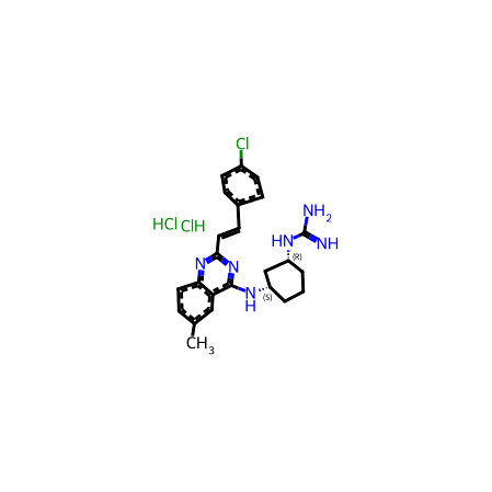 Cc1ccc2nc(C=Cc3ccc(Cl)cc3)nc(N[C@H]3CCC[C@@H](NC(=N)N)C3)c2c1.Cl.Cl